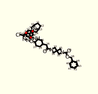 Nc1nnc(Cl)cc1N1CC2CCC(C1)N2c1cccc(OC2CCC(CC(=O)N3CC4(C3)CN(C(=O)OCc3ccccc3)C4)CC2)c1